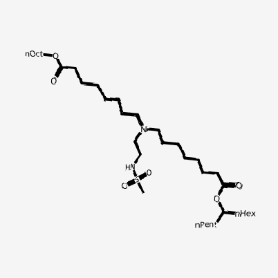 CCCCCCCCOC(=O)CCCCCCCN(CCCCCCCC(=O)OC(CCCCC)CCCCCC)CCNS(C)(=O)=O